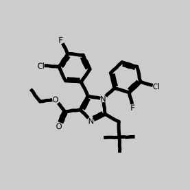 CCOC(=O)c1nc(CC(C)(C)C)n(-c2cccc(Cl)c2F)c1-c1ccc(F)c(Cl)c1